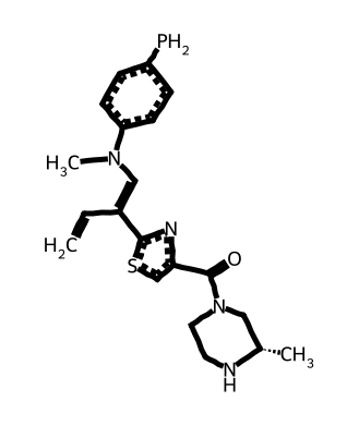 C=C/C(=C\N(C)c1ccc(P)cc1)c1nc(C(=O)N2CCN[C@@H](C)C2)cs1